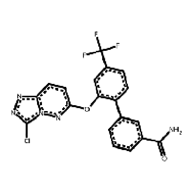 NC(=O)c1cccc(-c2ccc(C(F)(F)F)cc2Oc2ccc3nnc(Cl)n3n2)c1